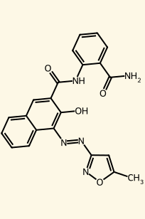 Cc1cc(/N=N/c2c(O)c(C(=O)Nc3ccccc3C(N)=O)cc3ccccc23)no1